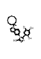 CCc1cc(-c2nnc(S)n2-c2ccc3c(ccn3C3(C)CCCCCCCC3)c2)c(O)cc1O